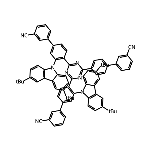 CC(C)(C)c1ccc2c(c1)c1cc(C(C)(C)C)ccc1n2-c1cc(-c2cccc(C#N)c2)ccc1-c1nc(-c2ccc(-c3cccc(C#N)c3)cc2)nc(-c2ccc(-c3cccc(C#N)c3)cc2-n2c3ccc(C(C)(C)C)cc3c3cc(C(C)(C)C)ccc32)n1